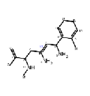 C=C(C)C(C/C(N)=C/C(N)C1=CCCC=C1C)NC